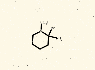 CC(=O)C1(N)CCCCN1C(=O)O